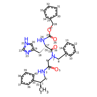 C[C@H](CNC(=O)CN(Cc1ccccc1)C(=O)[C@H](Cc1c[nH]cn1)NC(=O)OCc1ccccc1)c1ccccc1